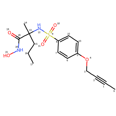 CC#CCOc1ccc(S(=O)(=O)NC(C)(CCC)C(=O)NO)cc1